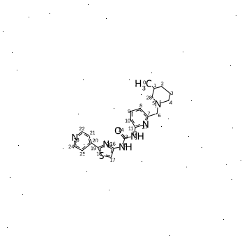 CC1CCCN(Cc2cccc(NC(=O)Nc3csc(-c4ccncc4)n3)n2)C1